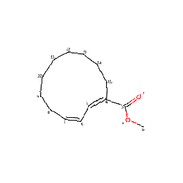 COC(=O)/C1=C\C=C/CCCCCCCC1